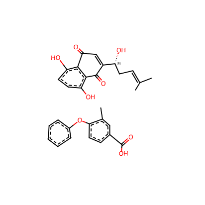 CC(C)=CC[C@@H](O)C1=CC(=O)c2c(O)ccc(O)c2C1=O.Cc1cc(C(=O)O)ccc1Oc1ccccc1